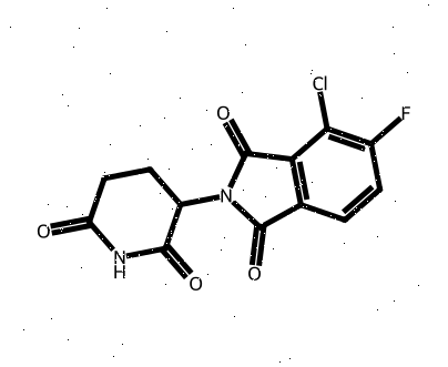 O=C1CCC(N2C(=O)c3ccc(F)c(Cl)c3C2=O)C(=O)N1